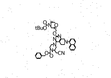 C[C@@H]1CO[C@@H](COc2nc3c(c(N4CCN(C(=O)OCc5ccccc5)C(CC#N)C4)n2)CCN(c2cccc4ccccc24)C3)CN1C(=O)OC(C)(C)C